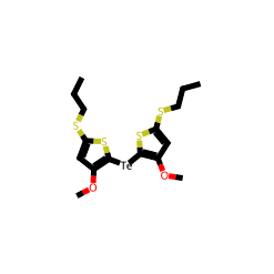 CCCSc1cc(OC)c([Te]c2sc(SCCC)cc2OC)s1